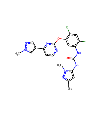 Cn1cc(-c2ccnc(Oc3cc(NC(=O)Nc4cc(C(C)(C)C)nn4C)c(F)cc3F)n2)cn1